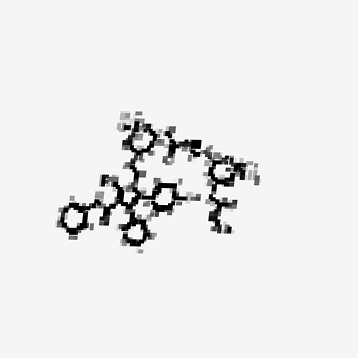 CC(C)c1c(C(=O)Nc2ccccc2)c(-c2ccccc2)c(-c2ccc(F)cc2)n1CC[C@@H]1C[C@H](CC(=O)NCC[C@@H]2C[C@H](CC(=O)OC(C)(C)C)OC(C)(C)O2)OC(C)(C)O1